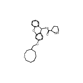 O=C(NC1c2ccccc2Oc2cc(OCC3CCCCCCCC3)ccc21)C1CCCN1